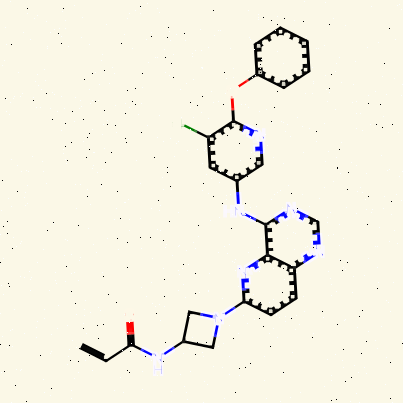 C=CC(=O)NC1CN(c2ccc3ncnc(Nc4cnc(Oc5ccccc5)c(Cl)c4)c3n2)C1